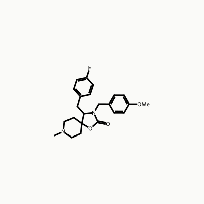 COc1ccc(CN2C(=O)OC3(CCN(C)CC3)C2Cc2ccc(F)cc2)cc1